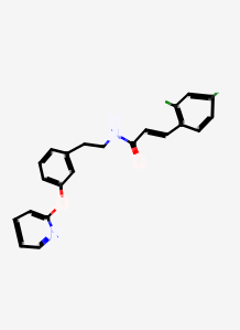 O=C(C=Cc1ccc(F)cc1F)NCCc1cccc(Oc2ccccn2)c1